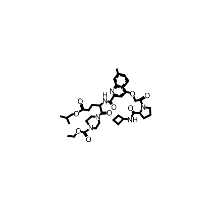 CCOC(=O)N1CCN(C(=O)C(CCC(=O)OCC(C)C)NC(=O)c2cc(OCC(=O)N3CCCC3C(=O)NC3CCC3)c3ccc(C)cc3n2)CC1